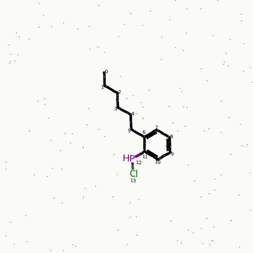 CCCCCCc1ccccc1PCl